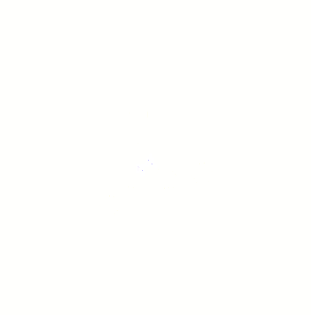 C[Si](C)(C)CCOCn1nc(C=Cc2ccccc2)c2ccc(-c3ccccc3)cc21